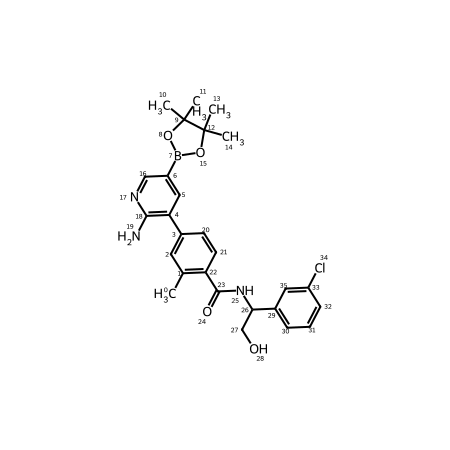 Cc1cc(-c2cc(B3OC(C)(C)C(C)(C)O3)cnc2N)ccc1C(=O)NC(CO)c1cccc(Cl)c1